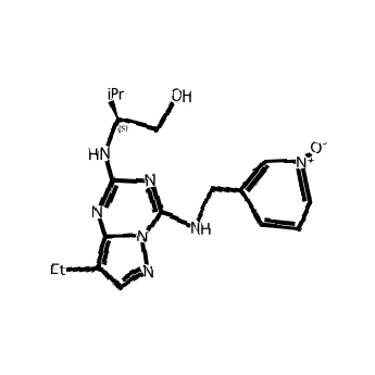 CCc1cnn2c(NCc3ccc[n+]([O-])c3)nc(N[C@H](CO)C(C)C)nc12